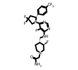 NC(=O)CN1CC[C@H](CNc2ncnc(N3CC(F)(F)C[C@@H]3c3ccc(C(F)(F)F)cc3)c2F)[C@@H](F)C1